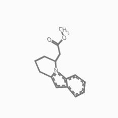 COC(=O)CC1CCCc2cc3ccccc3n21